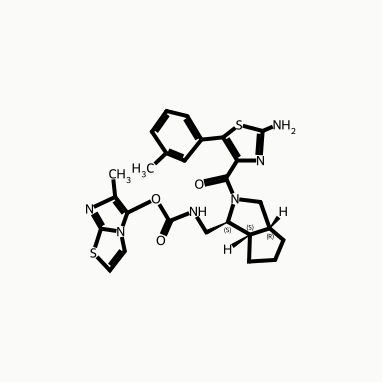 Cc1cccc(-c2sc(N)nc2C(=O)N2C[C@@H]3CCC[C@@H]3[C@H]2CNC(=O)Oc2c(C)nc3sccn23)c1